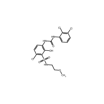 COCCNS(=O)(=O)c1c(Cl)ccc(NC(=O)Nc2cccc(Cl)c2Cl)c1O